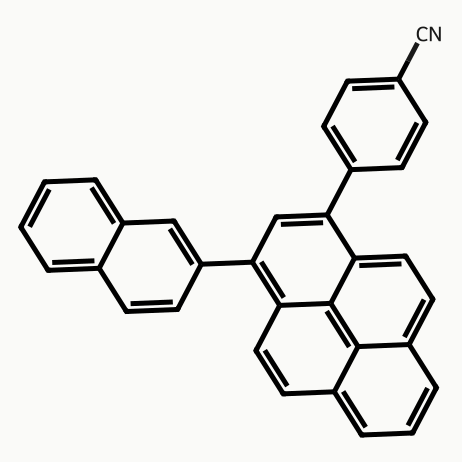 N#Cc1ccc(-c2cc(-c3ccc4ccccc4c3)c3ccc4cccc5ccc2c3c54)cc1